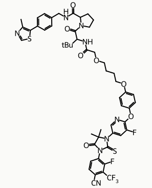 Cc1ncsc1-c1ccc(CNC(=O)C2CCCN2C(=O)C(NC(=O)COCCCCOc2ccc(Oc3ncc(N4C(=S)N(c5ccc(C#N)c(C(F)(F)F)c5F)C(=O)C4(C)C)cc3F)cc2)C(C)(C)C)cc1